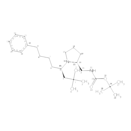 CC(C)(C)C[C@@H](CCCCc1ccccc1)N1CCC[C@H]1CNC(=O)OC(C)(C)C